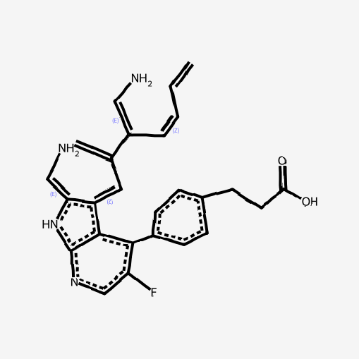 C=C/C=C\C(=C/N)C(=C)/C=c1\c(=C/N)[nH]c2ncc(F)c(-c3ccc(CCC(=O)O)cc3)c12